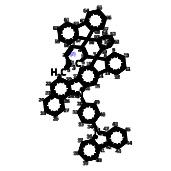 C=C/C=C\C1=C(C)C2(c3ccccc3-c3cc4c(cc32)c2ccc3ccccc3c2n4-c2ccc(-n3c4ccccc4c4ccccc43)cc2)c2ccccc2C12c1ccccc1-c1ccccc12